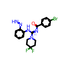 N=Nc1ccccc1N/C(=N\C(=O)c1ccc(Br)cc1)N1CCC(F)(F)CC1